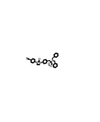 COC(C=O)(Cc1ccc(-n2ccn(-c3ccc(C#N)cc3)c2=O)cc1)N(Cc1ccccc1)Cc1ccccc1